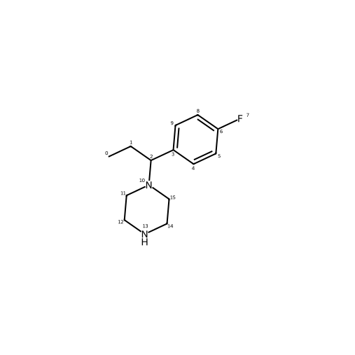 CCC(c1ccc(F)cc1)N1CCNCC1